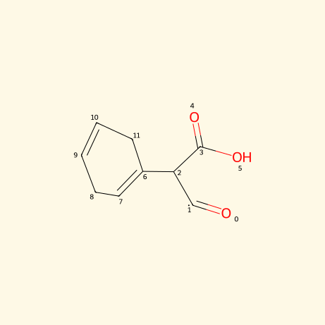 O=[C]C(C(=O)O)C1=CCC=CC1